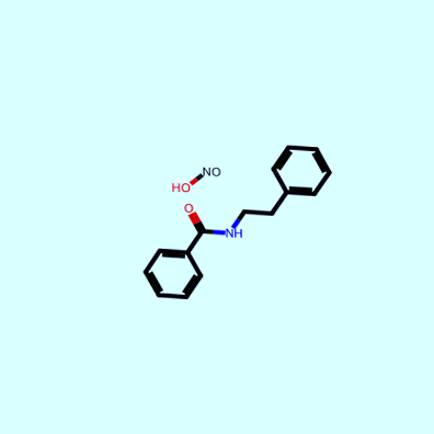 O=C(NCCc1ccccc1)c1ccccc1.O=NO